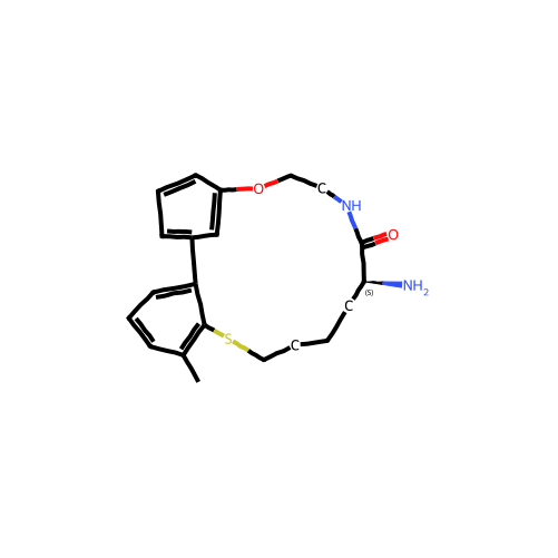 Cc1cccc2c1SCCCC[C@H](N)C(=O)NCCOc1cccc-2c1